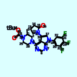 CC1CN(c2ncnc3c2c(N2CCCC2=O)cn3-c2cc(F)c(F)c(F)c2)CCN1C(=O)OC(C)(C)C